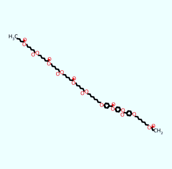 C=CC(=O)OCCCCCCCCOc1ccc(C(=O)Oc2ccc(OC(=O)c3ccc(OCCCCCCCCOC(=O)CCCCCOC(=O)CCCCCOC(=O)CCCCCOC(=O)CCCCCOC(=O)CCCCCOC(=O)CCCC)cc3)cc2)cc1